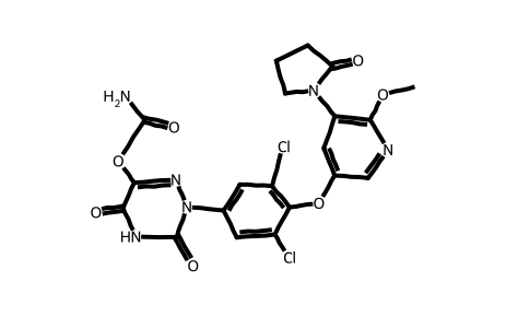 COc1ncc(Oc2c(Cl)cc(-n3nc(OC(N)=O)c(=O)[nH]c3=O)cc2Cl)cc1N1CCCC1=O